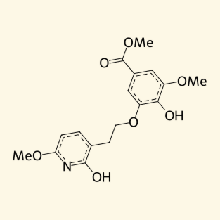 COC(=O)c1cc(OC)c(O)c(OCCc2ccc(OC)nc2O)c1